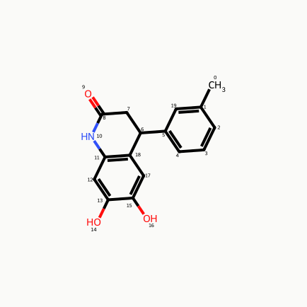 Cc1cccc(C2CC(=O)Nc3cc(O)c(O)cc32)c1